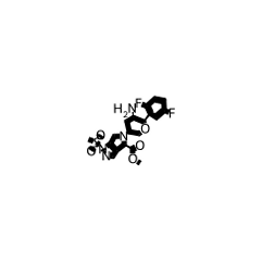 COC(=O)[C@H]1c2cnn(S(C)(=O)=O)c2CN1[C@H]1CO[C@H](c2cc(F)ccc2F)[C@@H](N)C1